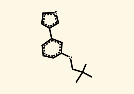 CC(C)(C)COc1cccc(-c2ccsc2)c1